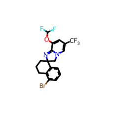 FC(F)OC1=CC(C(F)(F)F)=CN2CC3(CCCc4c(Br)cccc43)N=C12